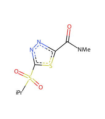 CNC(=O)c1nnc(S(=O)(=O)C(C)C)s1